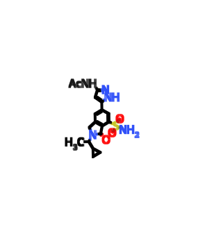 CC(=O)Nc1cc(-c2cc3c(c(S(N)(=O)=O)c2)C(=O)N(C(C)C2CC2)C3)[nH]n1